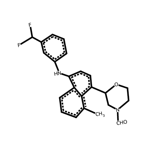 Cc1cccc2c(Nc3cccc(C(F)F)c3)ccc(C3CN(C=O)CCO3)c12